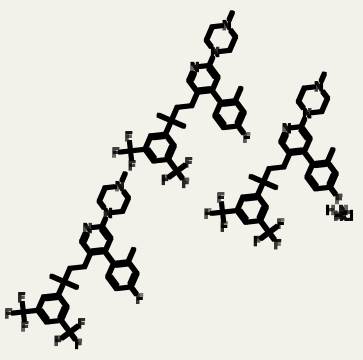 Cc1cc(F)ccc1-c1cc(N2CCN(C)CC2)ncc1CCC(C)(C)c1cc(C(F)(F)F)cc(C(F)(F)F)c1.Cc1cc(F)ccc1-c1cc(N2CCN(C)CC2)ncc1CCC(C)(C)c1cc(C(F)(F)F)cc(C(F)(F)F)c1.Cc1cc(F)ccc1-c1cc(N2CCN(C)CC2)ncc1CCC(C)(C)c1cc(C(F)(F)F)cc(C(F)(F)F)c1.Cl.N